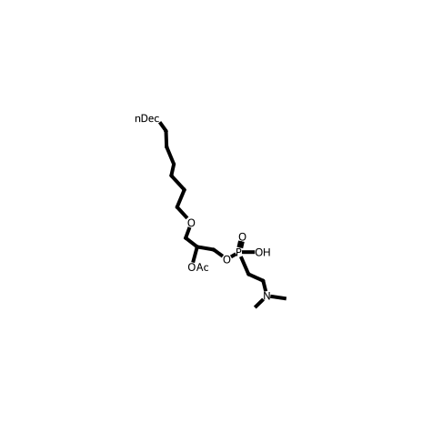 CCCCCCCCCCCCCCCCOCC(COP(=O)(O)CCN(C)C)OC(C)=O